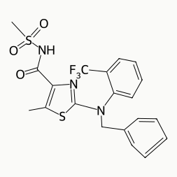 Cc1sc(N(Cc2ccccc2)c2ccccc2C(F)(F)F)nc1C(=O)NS(C)(=O)=O